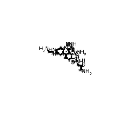 NCc1nc2cc(-c3ccc(S(=O)(=O)NC[C@@H](O)CN)c(S(N)(=O)=O)c3-c3nn[nH]n3)ccc2[nH]1